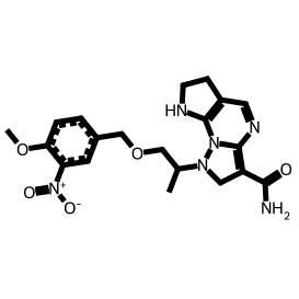 COc1ccc(COCC(C)N2CC(C(N)=O)=C3N=CC4=C(NCC4)N32)cc1[N+](=O)[O-]